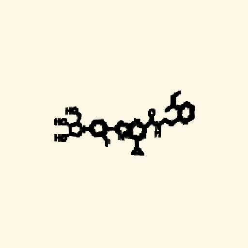 C/C=C(/C)c1ccccc1CCNC(=O)c1cc(C2CC2)n2nc(-c3ccc(N4C[C@H](O)[C@H](O)[C@H]4CO)cc3F)cc2n1